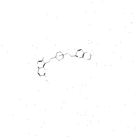 COc1ccc2ncc(F)c(CCC34CCC(NCc5ccc6c(n5)OCCO6)(CC3)CO4)c2n1